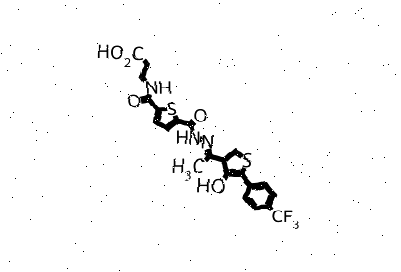 C/C(=N\NC(=O)c1ccc(C(=O)NCCC(=O)O)s1)C1CSC(c2ccc(C(F)(F)F)cc2)=C1O